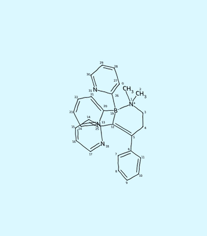 C[N+]1(C)CCC(c2ccccc2)=C(c2ccccn2)[B-]1(c1ccccn1)c1ccccn1